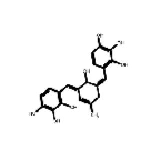 CC1=C/C(=C\c2ccc(O)c(O)c2O)C(O)/C(=C\c2ccc(O)c(O)c2O)C1